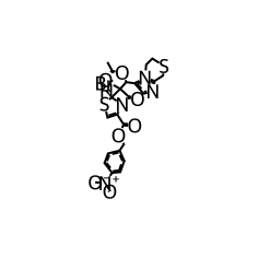 CC(=O)OC(c1cnc2n1CCSC2)C1(Br)C(=O)N2C(C(=O)OCc3ccc([N+](=O)[O-])cc3)=CS[C@@H]21